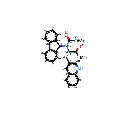 COC(=O)[C@H](Cc1cnc2ccccc2c1)N(C(=O)OC)C1c2ccccc2-c2ccccc21